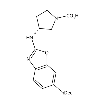 CCCCCCCCCCc1ccc2nc(N[C@@H]3CCN(C(=O)O)C3)oc2c1